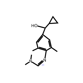 Cc1cc(C(O)C2CC2)cc(C)c1/N=C\N(C)C